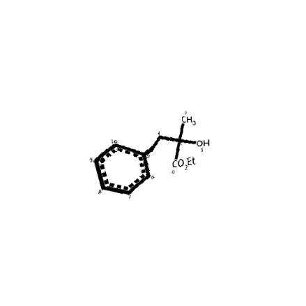 CCOC(=O)C(C)(O)Cc1ccccc1